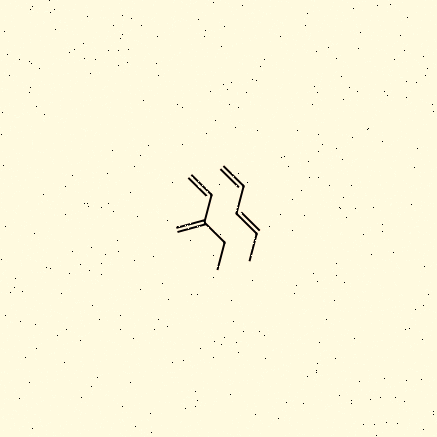 C=CC(=C)CC.C=CC=CC